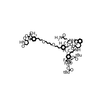 C/C(=C\C(=O)N[C@H]1CCc2cccc3c2N(C1=O)[C@H](C(=O)N[C@@H](CCC(N)=O)[C@@H](C)OCc1ccc(CCCOCCCCOCCCc2ccc4c(c2)n(C)c(=O)n4C2CCC(=O)NC2=O)cc1)C3)c1ccc(C(F)(F)P(=O)(OCOC(=O)C(C)(C)C)OCOC(=O)C(C)(C)C)cc1